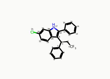 FC(F)(F)C[C@@H](c1ccccc1)c1c(-c2ccccc2)[nH]c2cc(Cl)ccc12